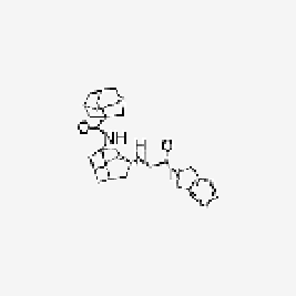 O=C(CNC12CC3CC4CC(NC(=O)C56CC7CC(CC(C7)C5)C6)(C1)C34C2)N1Cc2ccccc2C1